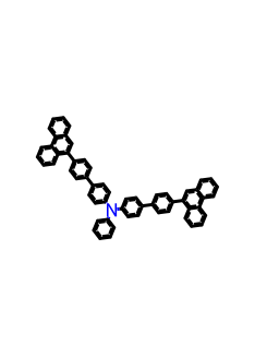 c1ccc(N(c2ccc(-c3ccc(-c4cc5ccccc5c5ccccc45)cc3)cc2)c2ccc(-c3ccc(-c4cc5ccccc5c5ccccc45)cc3)cc2)cc1